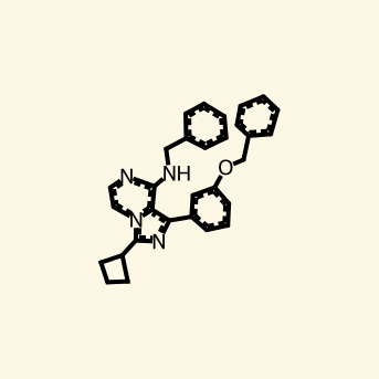 c1ccc(CNc2nccn3c(C4CCC4)nc(-c4cccc(OCc5ccccc5)c4)c23)cc1